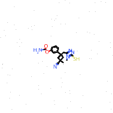 Cn1c(S)nnc1CC1(c2cccc(OC(N)=O)c2)CC(C)(C#N)C1